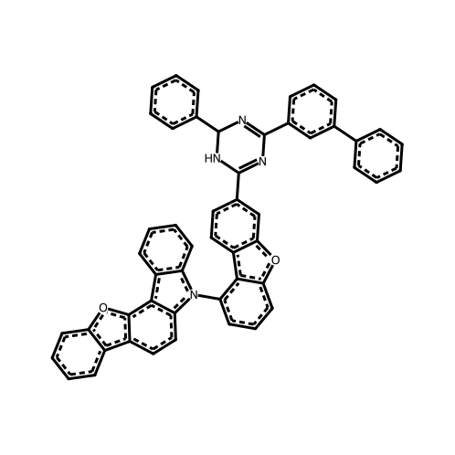 c1ccc(-c2cccc(C3=NC(c4ccccc4)NC(c4ccc5c(c4)oc4cccc(-n6c7ccccc7c7c8oc9ccccc9c8ccc76)c45)=N3)c2)cc1